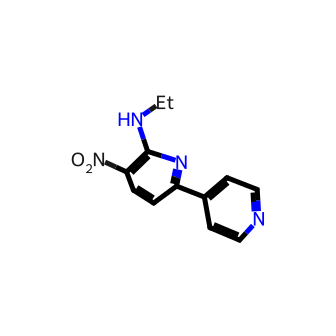 CCNc1nc(-c2ccncc2)ccc1[N+](=O)[O-]